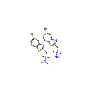 CC(C)(N)Cc1nc2cc(Br)ccc2s1.CN(C)C(C)(C)Cc1nc2cc(Br)ccc2s1